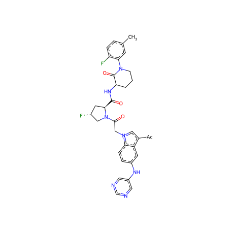 CC(=O)c1cn(CC(=O)N2C[C@H](F)C[C@H]2C(=O)NC2CCCN(c3cc(C)ccc3F)C2=O)c2ccc(Nc3cncnc3)cc12